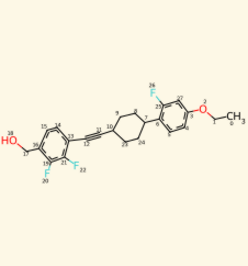 CCOc1ccc(C2CCC(C#Cc3ccc(CO)c(F)c3F)CC2)c(F)c1